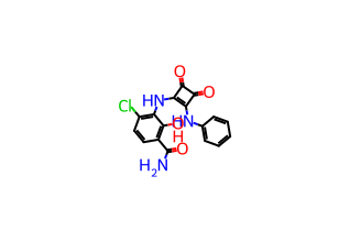 NC(=O)c1ccc(Cl)c(Nc2c(Nc3ccccc3)c(=O)c2=O)c1O